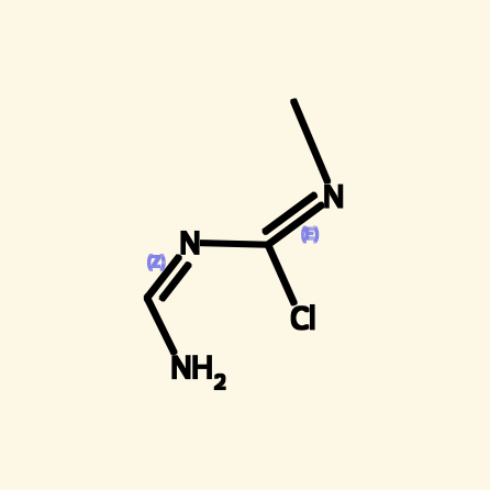 C/N=C(Cl)\N=C/N